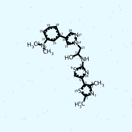 Cc1nc(C)c(-c2csc(NC(O)Cn3cc(-c4cccc(N(C)C)c4)cn3)n2)s1